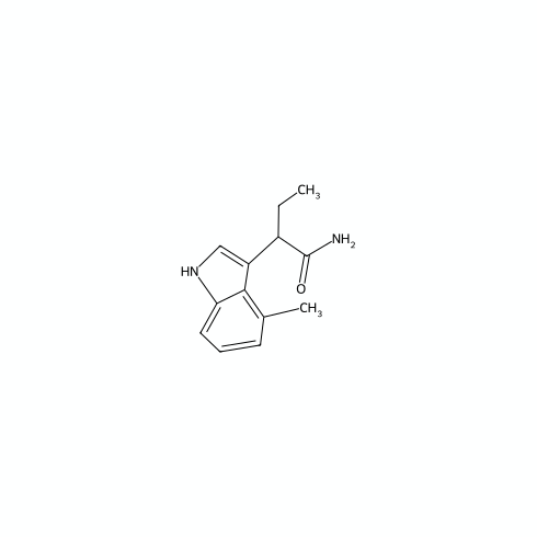 CCC(C(N)=O)c1c[nH]c2cccc(C)c12